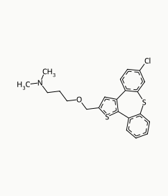 CN(C)CCCOCc1cc2c(s1)-c1ccccc1Sc1cc(Cl)ccc1-2